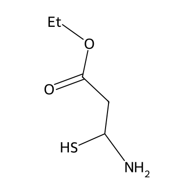 CCOC(=O)CC(N)S